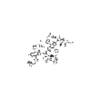 CCCCC(CC)COC(=O)c1sc2c(-c3cc4c(-c5ccc(CC(CC)CCCC)s5)c5sc(-c6sc(C)c7sc(C(=O)OCCC)c(F)c67)cc5c(-c5ccc(CC(CC)CCCC)s5)c4s3)sc(-c3cc4c(-c5ccc(CC(CC)CCCC)s5)c5sc(C)cc5c(-c5ccc(CC(CC)CCCC)s5)c4s3)c2c1F